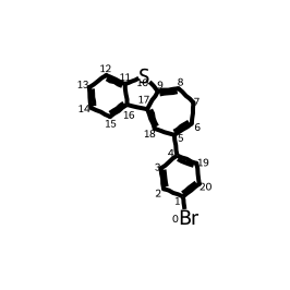 Brc1ccc(C2=CCC=c3sc4ccccc4c3=C2)cc1